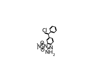 CN(C)S(=O)(=O)n1c(N)nc2ccc(C(=CCl)c3ccccc3)cc21